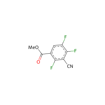 COC(=O)c1cc(F)c(F)c(C#N)c1F